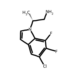 C[C@H](CN)n1ccc2cc(Cl)c(F)c(F)c21